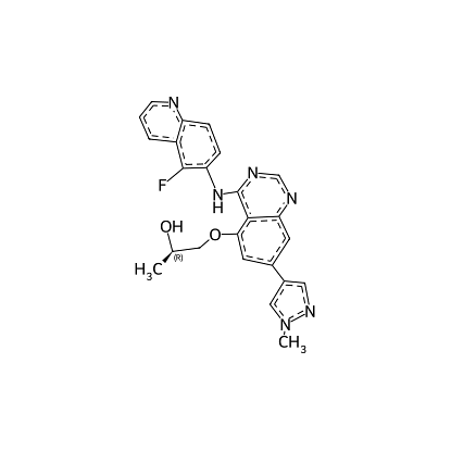 C[C@@H](O)COc1cc(-c2cnn(C)c2)cc2ncnc(Nc3ccc4ncccc4c3F)c12